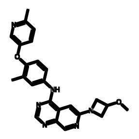 COC1CN(c2cc3c(Nc4ccc(Oc5ccc(C)nc5)c(C)c4)ncnc3cn2)C1